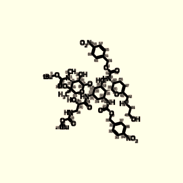 CN(C(=O)OC(C)(C)C)[C@@H]1[C@@H](O)[C@@H](O[C@H]2[C@H](NC(=O)[C@H](O)CNC(=O)OC(C)(C)C)C[C@H](NC(=O)OCc3ccc([N+](=O)[O-])cc3)C([C@H]3OC(CNCCO)=CC[C@H]3NC(=O)OCc3ccc([N+](=O)[O-])cc3)[C@@H]2O)OC[C@]1(C)O